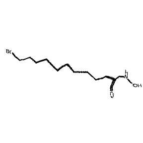 O=C(CCCCCCCCCCBr)NO